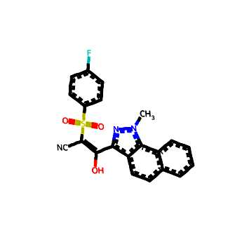 Cn1nc(C(O)=C(C#N)S(=O)(=O)c2ccc(F)cc2)c2ccc3ccccc3c21